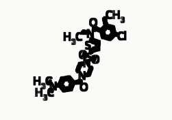 CCc1cc(Cl)ccc1C(=O)N(CC)c1ccc(S(=O)(=O)N2CCN(C(=O)c3ccc(N(C)C)cc3)CC2)s1